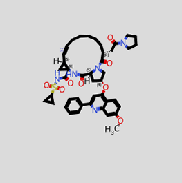 COc1ccc2c(O[C@@H]3C[C@H]4C(=O)N[C@]5(C(=O)NS(=O)(=O)C6CC6)C[C@H]5/C=C\CCCCC[C@H](CC(=O)N5CCCC5)C(=O)N4C3)cc(-c3ccccc3)nc2c1